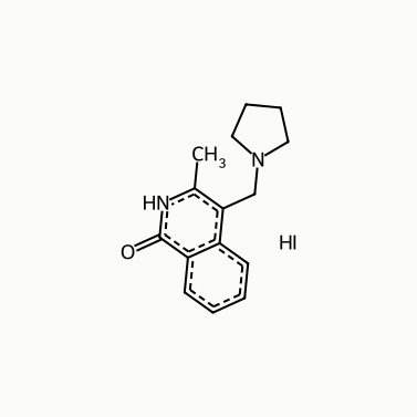 Cc1[nH]c(=O)c2ccccc2c1CN1CCCC1.I